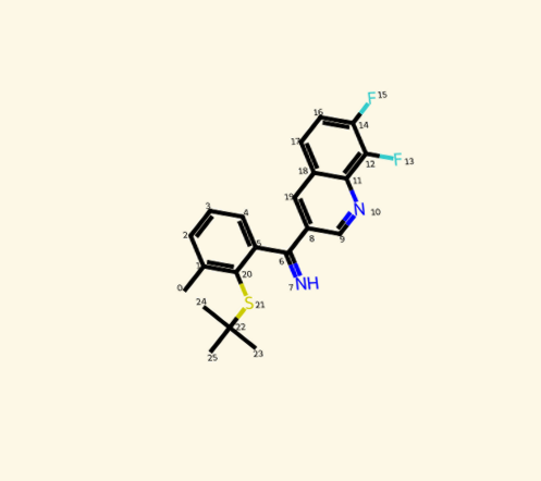 Cc1cccc(C(=N)c2cnc3c(F)c(F)ccc3c2)c1SC(C)(C)C